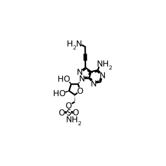 NCC#Cc1nn([C@@H]2O[C@H](COS(N)(=O)=O)[C@@H](O)[C@H]2O)c2ncnc(N)c12